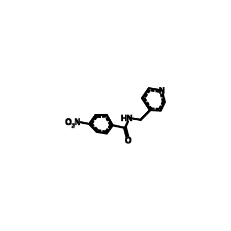 O=C(NCc1ccncc1)c1ccc([N+](=O)[O-])cc1